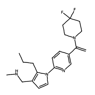 C=C(c1ccc(-n2ccc(CNC)c2CCC)nc1)N1CCC(F)(F)CC1